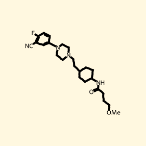 COCCCC(=O)NC1CCC(CCN2CCN(c3ccc(F)c(C#N)c3)CC2)CC1